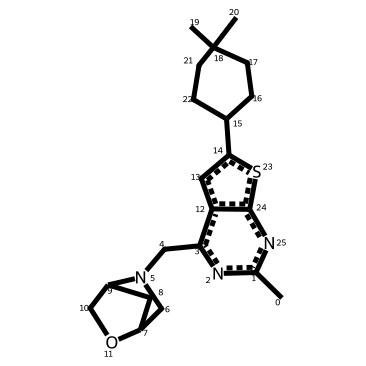 Cc1nc(CN2CC3CC2CO3)c2cc(C3CCC(C)(C)CC3)sc2n1